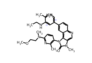 C=C(C)/C(=C\C(=C/N)c1ccc2ncc3c(c2c1)n(-c1ccc(N(C)CCOC)nc1C)c(=O)n3C)NCC